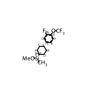 CO[SiH](C)[C@H]1CC[C@H](c2ccc(OC(F)(F)F)c(F)c2)CC1